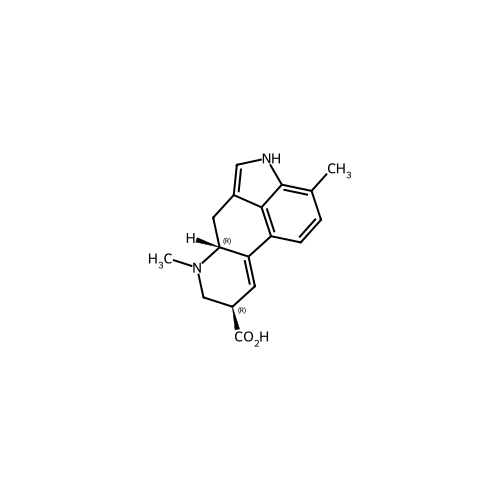 Cc1ccc2c3c(c[nH]c13)C[C@@H]1C2=C[C@@H](C(=O)O)CN1C